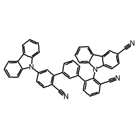 N#Cc1ccc2c(c1)c1ccccc1n2-c1c(C#N)cccc1-c1cccc(-c2cc(-n3c4ccccc4c4ccccc43)ccc2C#N)c1